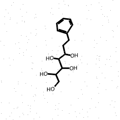 OCC(O)C(O)C(O)C(O)CCc1ccccc1